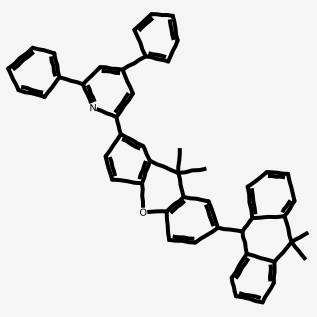 CC1(C)c2cc(-c3cc(-c4ccccc4)cc(-c4ccccc4)n3)ccc2Oc2ccc(C3c4ccccc4C(C)(C)c4ccccc43)cc21